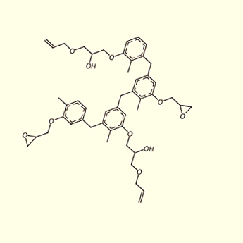 C=CCOCC(O)COc1cccc(Cc2cc(Cc3cc(Cc4ccc(C)c(OCC5CO5)c4)c(C)c(OCC(O)COCC=C)c3)c(C)c(OCC3CO3)c2)c1C